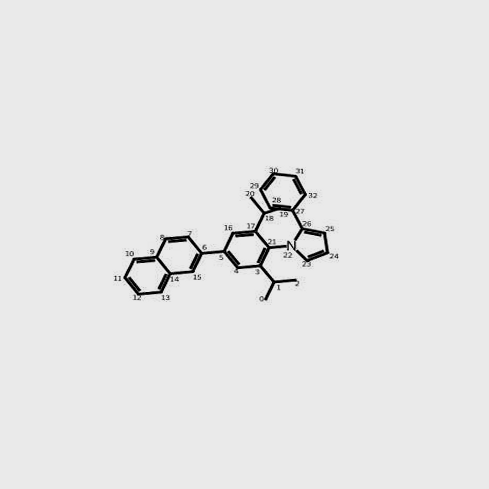 CC(C)c1cc(-c2ccc3ccccc3c2)cc(C(C)C)c1-n1cccc1-c1ccccc1